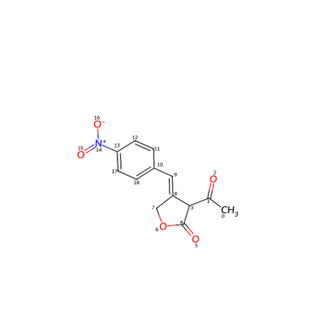 CC(=O)C1C(=O)OCC1=Cc1ccc([N+](=O)[O-])cc1